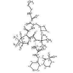 C=CCNC(=O)C(=O)C(CC1CCC1)NC(=O)[C@@H]1[C@@H]2[C@H](CN1C(=O)[C@@H](NC(=O)N[C@H](CN1CCCCS1(=O)=O)C1CCCCC1)C(C)(C)C)C2(C)C